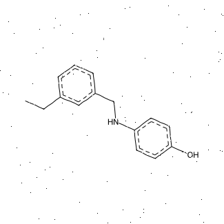 CCc1cccc(CNc2ccc(O)cc2)c1